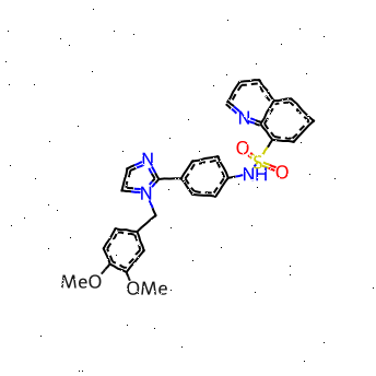 COc1ccc(Cn2ccnc2-c2ccc(NS(=O)(=O)c3cccc4cccnc34)cc2)cc1OC